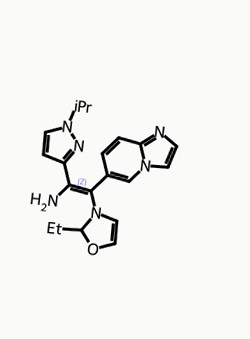 CCC1OC=CN1/C(=C(\N)c1ccn(C(C)C)n1)c1ccc2nccn2c1